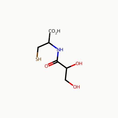 O=C(NC(CS)C(=O)O)C(O)CO